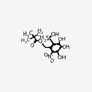 CC(C)(C)C(=O)OCc1c([SiH2]O)c(O)c(O)c(O)c1[N+](=O)[O-]